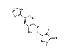 Cn1c(COc2ccc(-c3ncc[nH]3)cc2C(C)(C)C)n[nH]c1=O